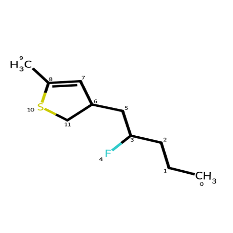 CCCC(F)CC1C=C(C)SC1